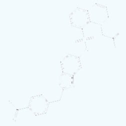 N=C(N)c1ccc(Cc2nc3cc(NS(=O)(=O)c4cccc5c4N(CC(=O)O)CC=C5)ccc3s2)cc1